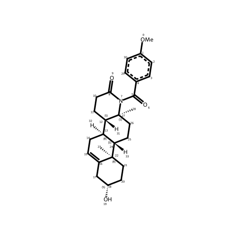 COc1ccc(C(=O)N2C(=O)CC[C@H]3[C@@H]4CC=C5C[C@@H](O)CC[C@]5(C)[C@H]4CC[C@@]32C)cc1